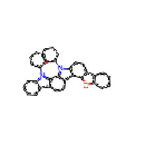 c1ccc(-n2c3ccccc3c3ccc4c5c6oc7ccccc7c6ccc5n(-c5ccccc5)c4c32)cc1